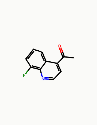 CC(=O)c1ccnc2c(F)cccc12